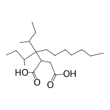 CCCCCCCC(C(C)CC)(C(C)CC)C(CC(=O)O)C(=O)O